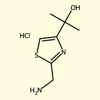 CC(C)(O)c1csc(CN)n1.Cl